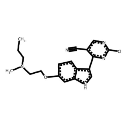 CCCN(C)CCOc1ccc2c(-c3nc(Cl)ncc3C#N)c[nH]c2c1